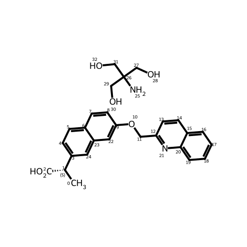 C[C@H](C(=O)O)c1ccc2ccc(OCc3ccc4ccccc4n3)cc2c1.NC(CO)(CO)CO